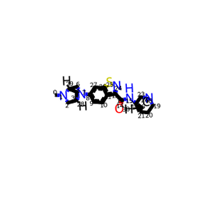 CN1C[C@@H]2C[C@H]1CN2c1ccc2c(C(=O)N[C@@H]3CN4CCC3CC4)nsc2c1